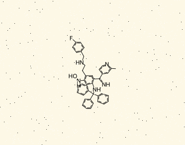 Cc1cc(C(=N)c2cc(CCNCc3ccc(F)cc3)c(NO)cc2NC(c2ccccc2)(c2ccccc2)c2ccccc2)ccn1